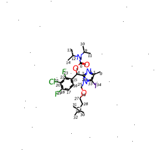 Cc1nc(C(OC(=O)N(C(C)C)C(C)C)c2ccc(F)c(Cl)c2F)n(COCC[Si](C)(C)C)c1I